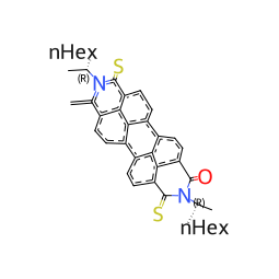 C=c1c2ccc3c4ccc5c6c(ccc(c7ccc(c(=S)n1[C@H](C)CCCCCC)c2c37)c64)C(=O)N([C@H](C)CCCCCC)C5=S